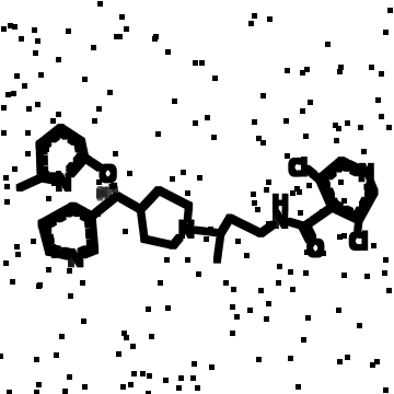 Cc1cccc(O[C@@H](c2cccnc2)C2CCN(C(C)CCNC(=O)c3c(Cl)cncc3Cl)CC2)n1